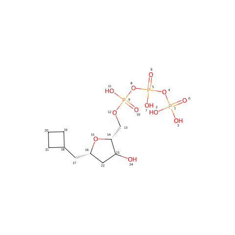 O=P(O)(O)OP(=O)(O)OP(=O)(O)OC[C@H]1O[C@@H](CC2CCC2)CC1O